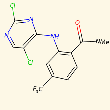 CNC(=O)c1ccc(C(F)(F)F)cc1Nc1nc(Cl)ncc1Cl